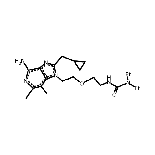 CCN(CC)C(=O)NCCOCCn1c(CC2CC2)nc2c(N)nc(C)c(C)c21